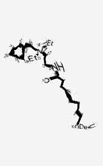 CCCCCCCCCCCCCCCCCC(=O)NCC[N+](CC)(CC)Cc1ccccc1